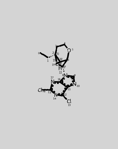 CC[C@@]12CCOC([C@H](n3cnc4c(Cl)nc(Cl)nc43)O1)[C@H]2C